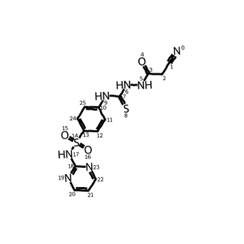 N#CCC(=O)NNC(=S)Nc1ccc(S(=O)(=O)Nc2ncccn2)cc1